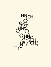 CC(=N)c1ccc(NC(=O)[C@H](Cc2cccc(-c3ccc(C(=O)N4CCN(C)CC4)cc3)c2)NC(=O)C2CCC(CNC(=O)OC(C)(C)C)CC2)cc1